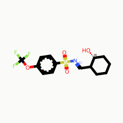 O=S(=O)(/N=C/C1CCCC[C@H]1O)c1ccc(OC(F)(F)F)cc1